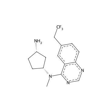 CN(c1ncnc2ccc(CC(F)(F)F)cc12)[C@@H]1CC[C@H](N)C1